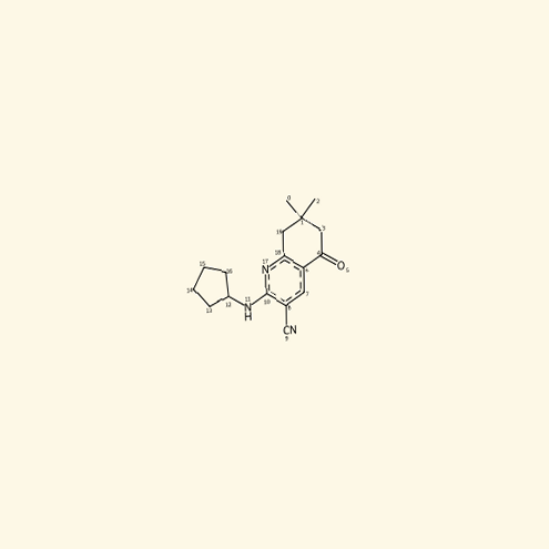 CC1(C)CC(=O)c2cc(C#N)c(NC3CCCC3)nc2C1